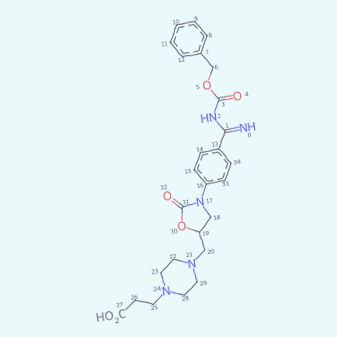 N=C(NC(=O)OCc1ccccc1)c1ccc(N2CC(CN3CCN(CCC(=O)O)CC3)OC2=O)cc1